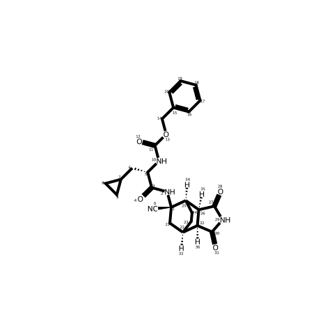 N#C[C@]1(NC(=O)[C@H](CC2CC2)NC(=O)OCc2ccccc2)C[C@H]2CC[C@@H]1[C@H]1C(=O)NC(=O)[C@@H]21